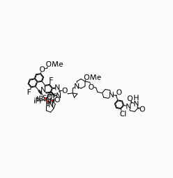 COCOc1cc(-c2ncc3c(N4CC5CCC(C4)N5C(=O)OC(C)(C)C)nc(OCC4(CN5CCC(COCCC6CCN(C(=O)c7ccc(Cl)c(N8CCC(=O)NC8=O)c7)CC6)(OC)CC5)CC4)nc3c2F)c2c(C#C[Si](C(C)C)(C(C)C)C(C)C)c(F)ccc2c1